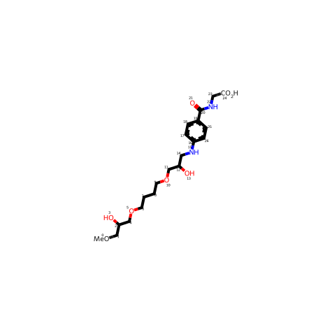 COCC(O)COCCCCOCC(O)CNc1ccc(C(=O)NCC(=O)O)cc1